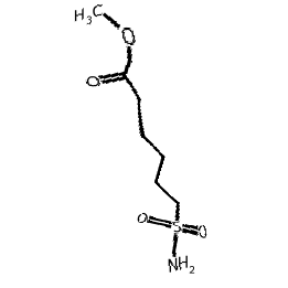 COC(=O)CCCCCS(N)(=O)=O